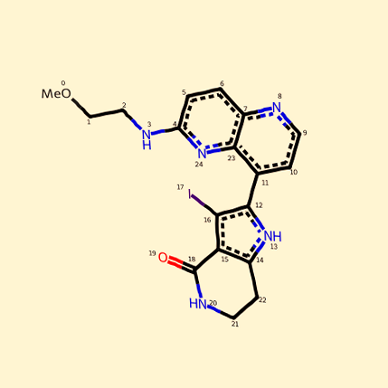 COCCNc1ccc2nccc(-c3[nH]c4c(c3I)C(=O)NCC4)c2n1